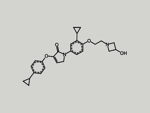 O=C1C(Oc2ccc(C3CC3)cc2)=CCN1c1ccc(OCCN2CC(O)C2)c(C2CC2)c1